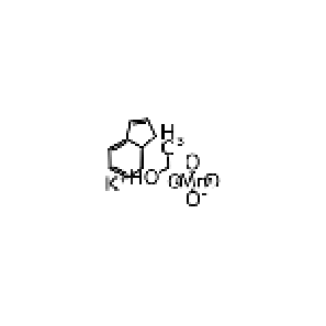 C1=Cc2ccccc2C1.CCO.[K+].[O]=[Mn](=[O])(=[O])[O-]